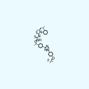 CC1C=C2CS/C(=N\C(=S)NOC(C)c3ccc(-c4ncn(-c5ccc(OC(F)(F)F)cc5)n4)cc3)N2c2ccccc21